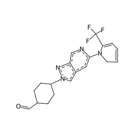 O=CC1CCC(n2cc3cc(N4CC=CC=C4C(F)(F)F)ncc3n2)CC1